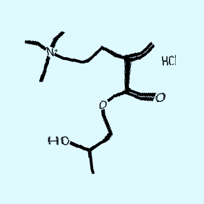 C=C(CC[N+](C)(C)C)C(=O)OCC(C)O.Cl